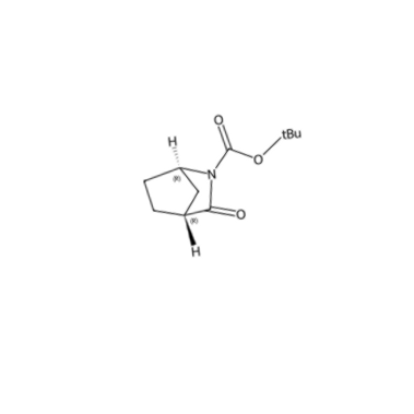 CC(C)(C)OC(=O)N1C(=O)[C@@H]2CC[C@@H]1C2